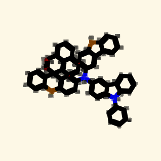 c1ccc(-n2c3ccccc3c3cc(N(c4ccc5c(c4)C4(c6ccccc6S5)c5ccccc5-c5cccc6cccc4c56)c4ccc5sc6ccccc6c5c4)ccc32)cc1